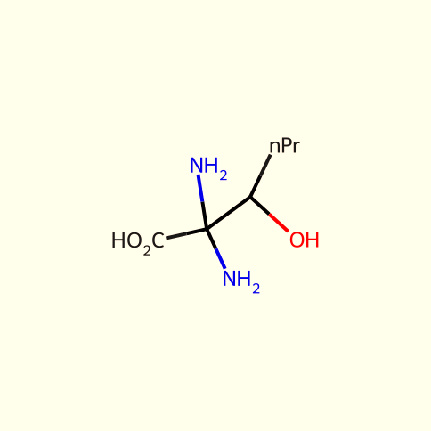 CCCC(O)C(N)(N)C(=O)O